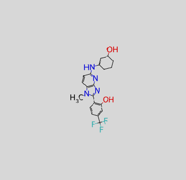 Cn1c(-c2ccc(C(F)(F)F)cc2O)nc2nc(NC3CCCC(O)C3)ccc21